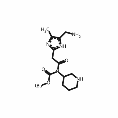 Cc1nc(CC(=O)N(C(=O)OC(C)(C)C)C2CCCNC2)[nH]c1CN